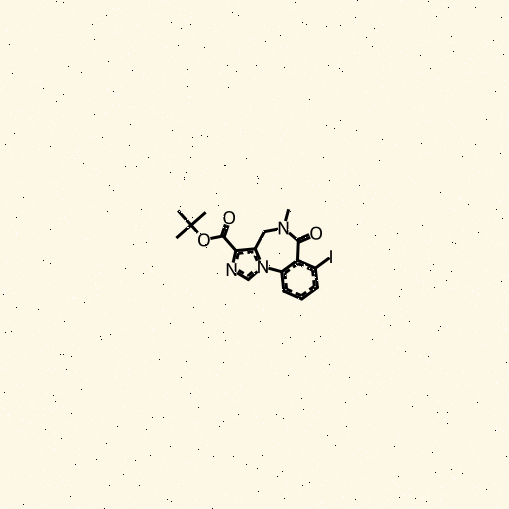 CN1Cc2c(C(=O)OC(C)(C)C)ncn2-c2cccc(I)c2C1=O